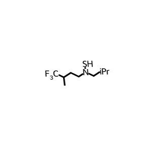 CC(C)CN(S)CCC(C)C(F)(F)F